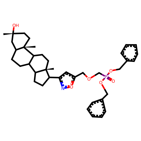 C[C@@]1(O)CC[C@@]2(C)C(CCC3C2CC[C@]2(C)C(c4cc(COCP(=O)(OCc5ccccc5)OCc5ccccc5)on4)CCC32)C1